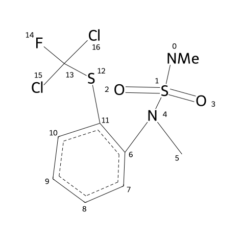 CNS(=O)(=O)N(C)c1ccccc1SC(F)(Cl)Cl